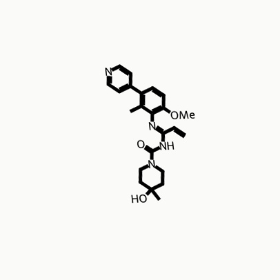 C=C/C(=N\c1c(OC)ccc(-c2ccncc2)c1C)NC(=O)N1CCC(C)(O)CC1